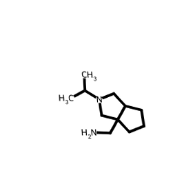 CC(C)N1CC2CCCC2(CN)C1